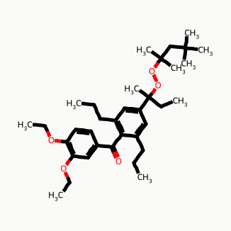 CCCc1cc(C(C)(CC)OOC(C)(C)CC(C)(C)C)cc(CCC)c1C(=O)c1ccc(OCC)c(OCC)c1